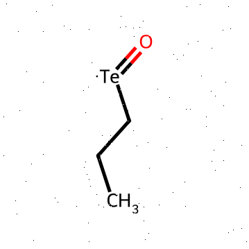 CCC[Te]=O